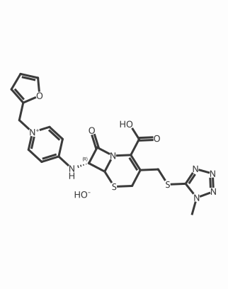 Cn1nnnc1SCC1=C(C(=O)O)N2C(=O)[C@@H](Nc3cc[n+](Cc4ccco4)cc3)C2SC1.[OH-]